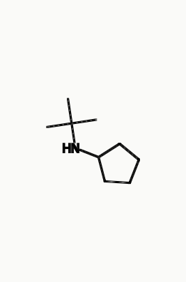 CC(C)(C)NC1CCCC1